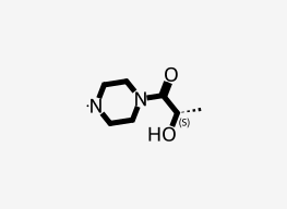 C[C@H](O)C(=O)N1CC[N]CC1